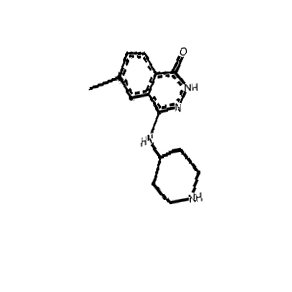 Cc1ccc2c(=O)[nH]nc(NC3CCNCC3)c2c1